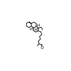 CC(C=O)CCC[C@@H](C)[C@H]1CC[C@H]2[C@@H]3CCC4=CCCC[C@]4(C)[C@H]3CC[C@]12C